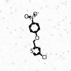 O=[N+]([O-])c1ccc(OCc2cc(Cl)cs2)cc1